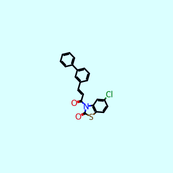 O=C(C=Cc1cccc(-c2ccccc2)c1)n1c(=O)sc2ccc(Cl)cc21